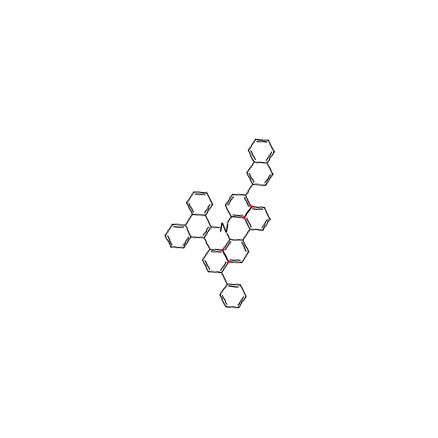 c1ccc(-c2ccc(-c3c(N(c4ccc(-c5ccc6ccccc6c5)cc4)c4ccccc4-c4ccccc4)c4ccccc4c4ccccc34)cc2)cc1